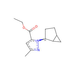 CCOC(=O)c1cc(C)nn1[C@H]1CCC2CC21